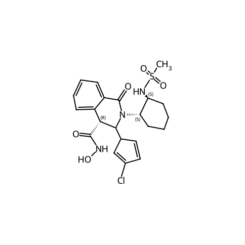 CS(=O)(=O)N[C@H]1CCCC[C@@H]1N1C(=O)c2ccccc2[C@@H](C(=O)NO)C1C1C=CC(Cl)=C1